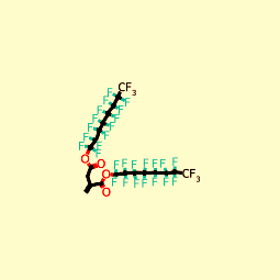 C=C(CC(=O)OC(F)(F)C(F)(F)C(F)(F)C(F)(F)C(F)(F)C(F)(F)C(F)(F)C(F)(F)F)C(=O)OC(F)(F)C(F)(F)C(F)(F)C(F)(F)C(F)(F)C(F)(F)C(F)(F)C(F)(F)F